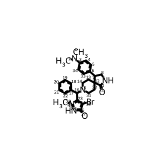 CN(C)c1ccc(C2CNC(=O)C23CCN(C(c2ccccc2)c2c(Br)c(=O)[nH]n2C)CC3)cc1